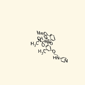 COc1ccccc1S(=O)(=O)N(CC(=O)N(C)C)c1cc(C)cc(OCCNc2ccncc2)c1